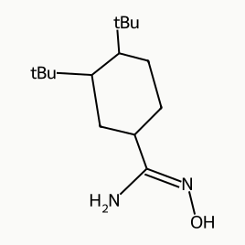 CC(C)(C)C1CCC(/C(N)=N/O)CC1C(C)(C)C